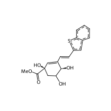 COC(=O)[C@]1(O)C=C(/C=C/c2cc3ccccc3s2)[C@@H](O)C(O)C1